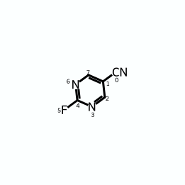 N#Cc1cnc(F)nc1